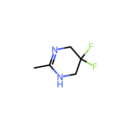 CC1=NCC(F)(F)CN1